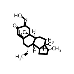 C=C[C@@H]1CC2=CC(=O)/C(=N\O)C[C@]2(C)[C@H]2CC[C@]3(C)[C@H](C)CC[C@H]3[C@H]12